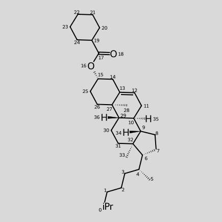 CC(C)CCC[C@@H](C)[C@H]1CC[C@H]2[C@@H]3CC=C4C[C@@H](OC(=O)C5CCCCC5)CC[C@]4(C)[C@H]3CC[C@]12C